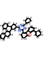 c1ccc(-c2nc(-c3ccc(-c4ccccc4)c(-c4ccc5ccccc5c4)c3)nc(-c3cccc4oc5c(-c6ccccc6)cccc5c34)n2)cc1